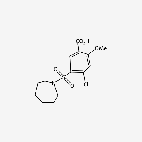 COc1cc(Cl)c(S(=O)(=O)N2CCCCCC2)cc1C(=O)O